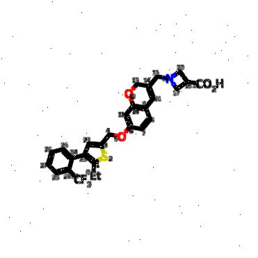 CCc1sc(COc2ccc3c(c2)OCC(CN2CC(C(=O)O)C2)=C3)cc1-c1ccccc1C(F)(F)F